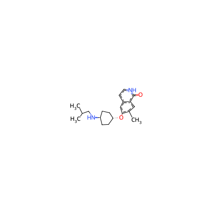 Cc1cc2c(=O)[nH]ccc2cc1O[C@H]1CC[C@H](NCC(C)C)CC1